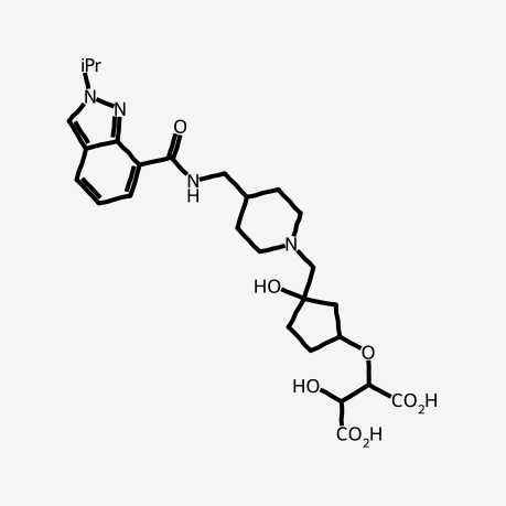 CC(C)n1cc2cccc(C(=O)NCC3CCN(CC4(O)CCC(OC(C(=O)O)C(O)C(=O)O)C4)CC3)c2n1